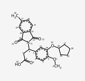 COc1ccc(C(CC(=O)O)N2C(=O)c3ccc(C)cc3C2=O)cc1OC1CCCC1